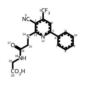 N#Cc1c(C(F)(F)F)cc(-c2ccccc2)nc1SCC(=O)NCC(=O)O